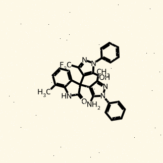 Cc1cccc2c1NC(=O)C2(c1c(C)nn(-c2ccccc2)c1N)c1c(C(F)(F)F)nn(-c2ccccc2)c1O